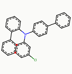 Clc1cccc(N(c2ccc(-c3ccccc3)cc2)c2ccccc2-c2ccccc2)c1